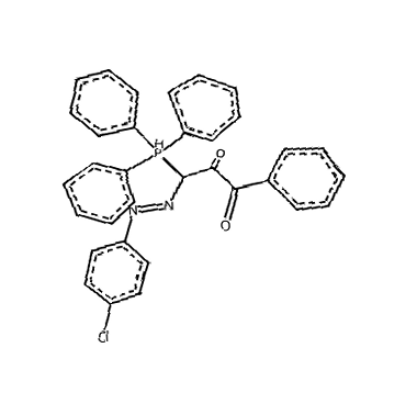 O=C(C(=O)C(/N=N/c1ccc(Cl)cc1)[PH](c1ccccc1)(c1ccccc1)c1ccccc1)c1ccccc1